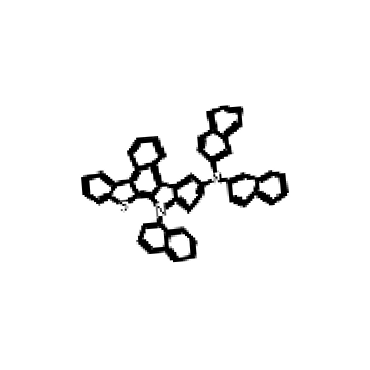 c1ccc2cc(N(c3ccc4ccccc4c3)c3ccc4c(c3)c3c5ccccc5c5c6ccccc6sc5c3n4-c3cccc4ccccc34)ccc2c1